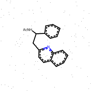 CC(=O)NC(Cc1ccc2ccccc2n1)c1ccccc1